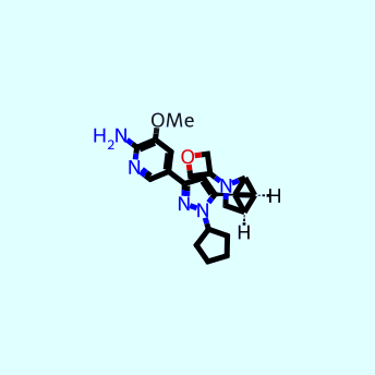 COc1cc(-c2cc([C@@]34C5[C@H]3[C@H]4CN5C3COC3)n(C3CCCC3)n2)cnc1N